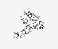 C=C[C@@H]1C[C@]1(NC(=O)[C@@H]1C[C@@H](Oc2cc(-c3nc(C(C)C)cs3)nc3c(Cl)c(CCCN4CCOCC4)ccc23)[C@H]2CN[C@H](C(C)C)C(=O)N21)C(=O)NS(=O)(=O)C1CC1